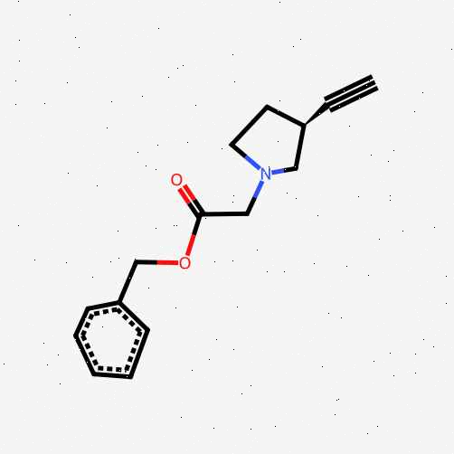 C#C[C@@H]1CCN(CC(=O)OCc2ccccc2)C1